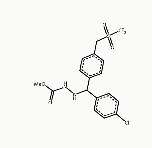 COC(=O)NNC(c1ccc(Cl)cc1)c1ccc(CS(=O)(=O)C(F)(F)F)cc1